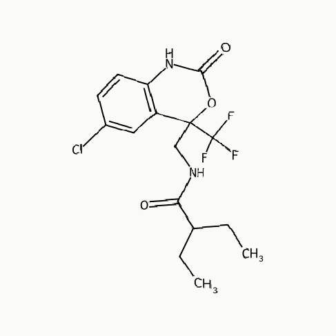 CCC(CC)C(=O)NCC1(C(F)(F)F)OC(=O)Nc2ccc(Cl)cc21